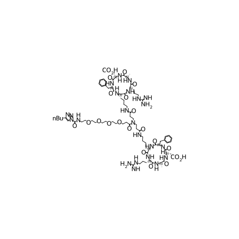 CCCCc1cn(C(=O)NCCOCCOCCOCCOCCC(=O)N(CCC(=O)NCCCC[C@@H]2NC(=O)[C@@H](Cc3ccccc3)NC(=O)[C@H](CC(=O)O)NC(=O)[C@H](C)NC(=O)[C@H](CCCNC(=N)N)NC2=O)CCC(=O)NCCCC[C@@H]2NC(=O)[C@@H](Cc3ccccc3)NC(=O)[C@H](CC(=O)O)NC(=O)[C@H](C)NC(=O)[C@H](CCCNC(=N)N)NC2=O)nn1